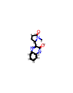 CN1C(=O)CCC1C1=Nc2ccccc2[N]C1=O